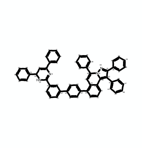 C1=C(c2ccccc2)N=C(c2cccc(-c3ccc(-c4cccc5c4cc(-c4ccccc4)n4nc(-c6ccccc6)c(-c6ccccc6)c54)cc3)c2)NC1c1ccccc1